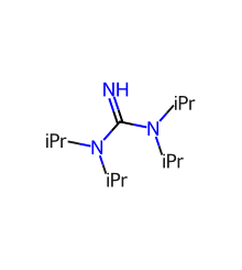 CC(C)N(C(=N)N(C(C)C)C(C)C)C(C)C